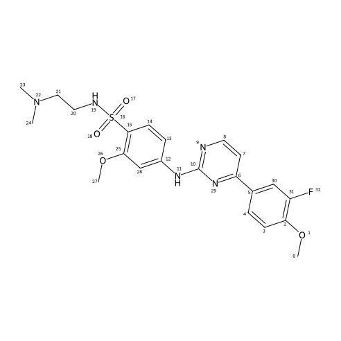 COc1ccc(-c2ccnc(Nc3ccc(S(=O)(=O)NCCN(C)C)c(OC)c3)n2)cc1F